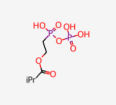 CC(C)C(=O)OCCP(=O)(O)OP(=O)(O)O